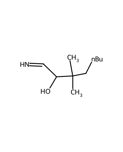 CCCCCC(C)(C)C(O)C=N